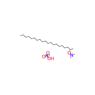 CCCCCCCCCCCCCCCCCCC(C)ON(C)C.O=[N+]([O-])O